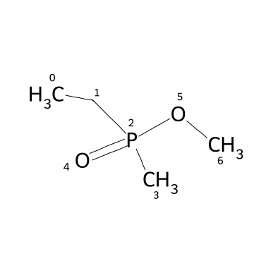 CCP(C)(=O)OC